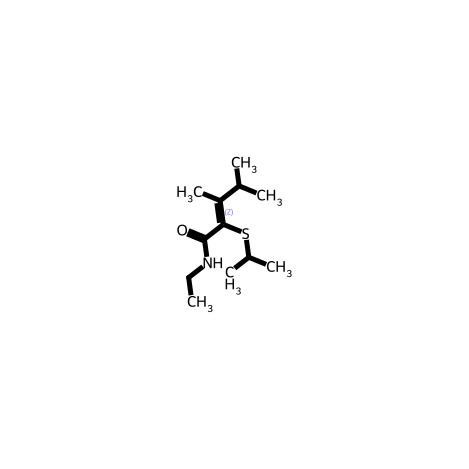 CCNC(=O)/C(SC(C)C)=C(\C)C(C)C